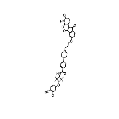 CC1(C)C(NC(=O)c2ccc(C3CCN(CCCOc4ccc5c(c4)C(=O)N(C4CCC(=O)NC4=O)C5=O)CC3)cc2)C(C)(C)C1Oc1ccc(C#N)c(Cl)c1